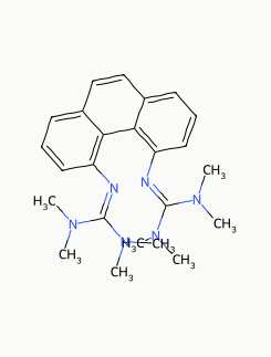 CN(C)C(=Nc1cccc2ccc3cccc(N=C(N(C)C)N(C)C)c3c12)N(C)C